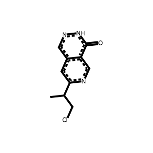 CC(CCl)c1cc2cn[nH]c(=O)c2cn1